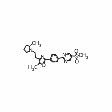 Cc1oc(-c2ccc(-c3ncc(S(C)(=O)=O)cn3)cc2)nc1CCN1CCC[C@H]1C